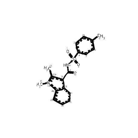 Cc1ccc(S(=O)(=O)NC(=O)c2c(C)n(C)c3ccccc23)cc1